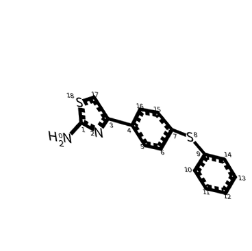 Nc1nc(-c2ccc(Sc3ccccc3)cc2)cs1